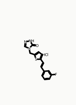 Cl.O=c1[nH]ncn1Cc1ccc(/C=C/c2cccc(F)c2)s1